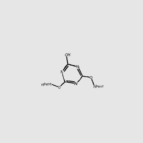 CCCCCOc1nc(O)nc(OCCCCC)n1